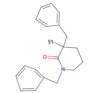 CCC1(Cc2ccccc2)CCCN(Cc2ccccc2)C1=O